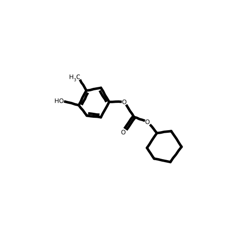 Cc1cc(OC(=O)OC2CCCCC2)ccc1O